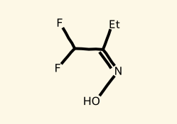 CCC(=NO)C(F)F